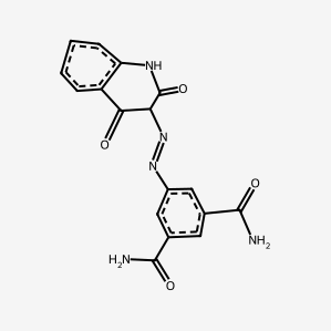 NC(=O)c1cc(N=NC2C(=O)Nc3ccccc3C2=O)cc(C(N)=O)c1